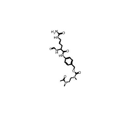 CC(=O)N(C)CCN(C)C(=O)OCc1ccc(NC(=O)C(CCCNC(N)=O)NC=O)cc1